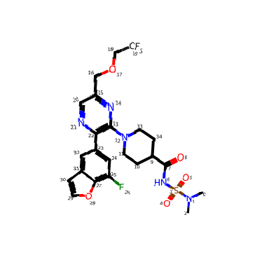 CN(C)S(=O)(=O)NC(=O)C1CCN(c2nc(COCC(F)(F)F)cnc2-c2cc(F)c3occc3c2)CC1